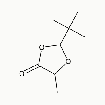 CC1OC(C(C)(C)C)OC1=O